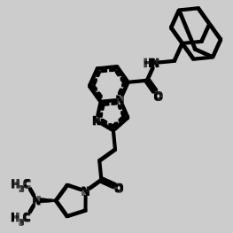 CN(C)[C@@H]1CCN(C(=O)CCc2cn3c(C(=O)NCC45CC6CC(CC(C6)C4)C5)cccc3n2)C1